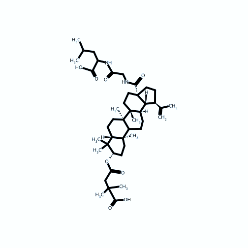 C=C(C)[C@@H]1CC[C@]2(C(=O)NCC(=O)NC(CC(C)C)C(=O)O)CC[C@]3(C)[C@H](CCC4[C@@]5(C)CC[C@H](OC(=O)CC(C)(C)C(=O)O)C(C)(C)[C@@H]5CC[C@]43C)[C@@H]12